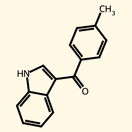 Cc1ccc(C(=O)c2c[nH]c3ccccc23)cc1